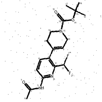 CC(=O)Nc1ccc(C2=CCN(C(=O)OC(C)(C)C)CC2)c(C(F)F)n1